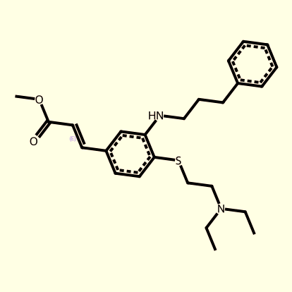 CCN(CC)CCSc1ccc(/C=C/C(=O)OC)cc1NCCCc1ccccc1